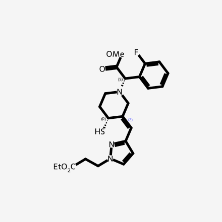 CCOC(=O)CCn1ccc(/C=C2/CN([C@H](C(=O)OC)c3ccccc3F)CC[C@H]2S)n1